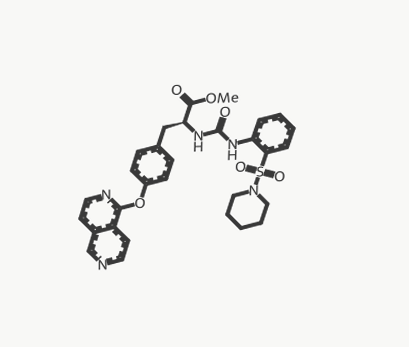 COC(=O)[C@H](Cc1ccc(Oc2nccc3cnccc23)cc1)NC(=O)Nc1ccccc1S(=O)(=O)N1CCCCC1